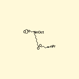 CCCC#CCCCOC(=O)CCCCCCCN(CCCCCCCC)CCCN1CCOCC1